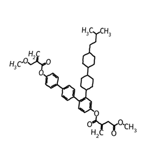 C=C(COC)C(=O)Oc1ccc(-c2ccc(-c3ccc(OC(=O)C(=C)CC(=O)OC)cc3C3CCC(C4CCC(CCC(C)C)CC4)CC3)cc2)cc1